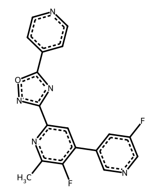 Cc1nc(-c2noc(-c3ccncc3)n2)cc(-c2cncc(F)c2)c1F